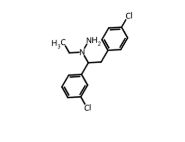 CCN(N)C(Cc1ccc(Cl)cc1)c1cccc(Cl)c1